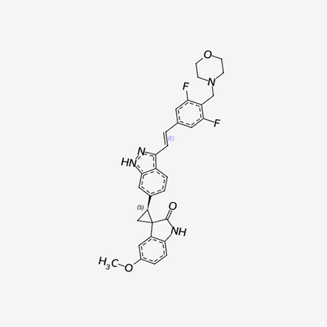 COc1ccc2c(c1)C1(C[C@H]1c1ccc3c(/C=C/c4cc(F)c(CN5CCOCC5)c(F)c4)n[nH]c3c1)C(=O)N2